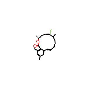 Cc1cc(C)c2c(c1)/C=C/CCCC(C)/C(F)=C\C[C@H](C)OC2=O